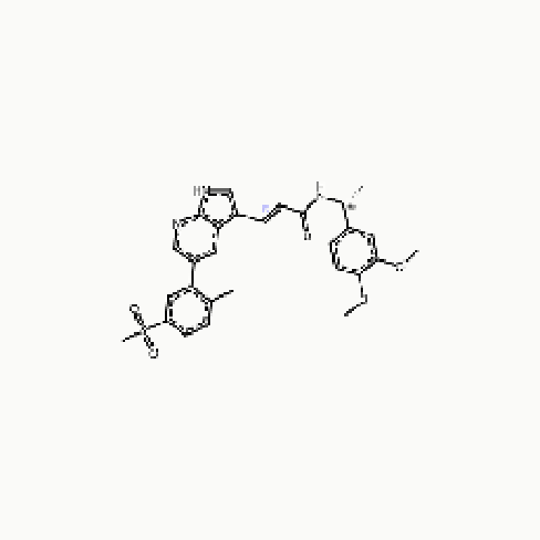 COc1ccc([C@@H](C)NC(=O)/C=C/c2c[nH]c3ncc(-c4cc(S(C)(=O)=O)ccc4C)cc23)cc1OC